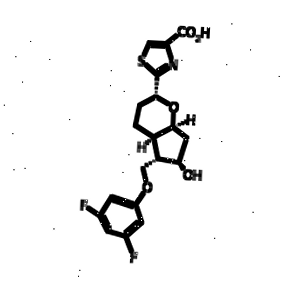 O=C(O)c1csc([C@H]2CC[C@@H]3[C@@H](COc4cc(F)cc(F)c4)[C@H](O)C[C@@H]3O2)n1